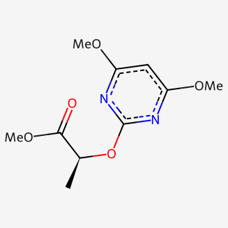 COC(=O)[C@H](C)Oc1nc(OC)cc(OC)n1